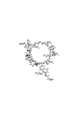 CO[C@@H]1C[C@H](C[C@@H](C)[C@@H]2CC(=O)[C@H](C)/C=C(\C)[C@@H](O)[C@@H](OC)C(=O)[C@H](C)C[C@H](C)/C=C/C=C/C=C(\C)[C@@H](OC(C)(C)CCO)C[C@@H]3CC[C@@H](C)[C@@](O)(O3)C(=O)C(=O)N3CCCC[C@H]3C(=O)O2)CC[C@H]1OCCO